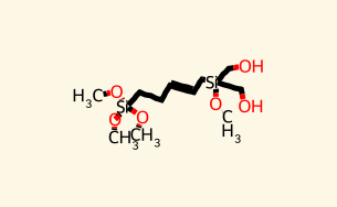 CO[Si](CO)(CO)C/C=C/CC[Si](OC)(OC)OC